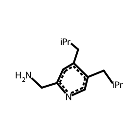 CC(C)Cc1cnc(CN)cc1CC(C)C